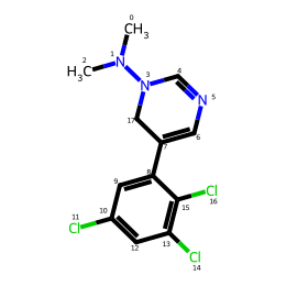 CN(C)N1C=NC=C(c2cc(Cl)cc(Cl)c2Cl)C1